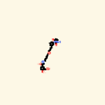 O=c1cc[nH]c(=O)n1-c1cccc(CCCCOCCCCCCNC[C@H](O)c2ccc(O)c(CO)c2)c1